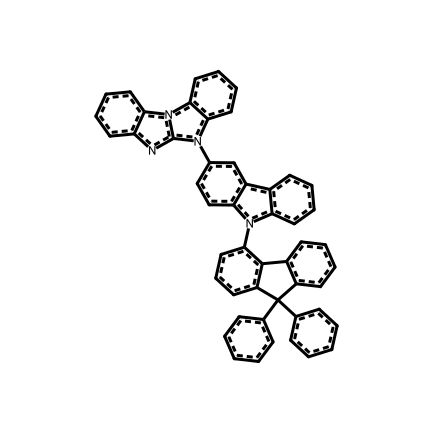 c1ccc(C2(c3ccccc3)c3ccccc3-c3c(-n4c5ccccc5c5cc(-n6c7ccccc7n7c8ccccc8nc67)ccc54)cccc32)cc1